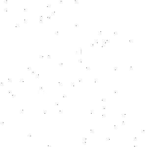 Clc1ccc(CBr)c(Cl)c1Cl